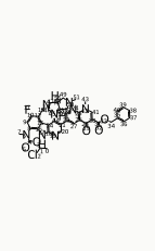 CC(Cl)OC(=O)N(C)c1cc(F)c(C#N)c2c1[nH]c1ncc(-c3cnc4c(c3)c(=O)c(C(=O)OCc3ccccc3)cn4C)c(N3CC[C@H]4CN(C)C[C@H]43)c12